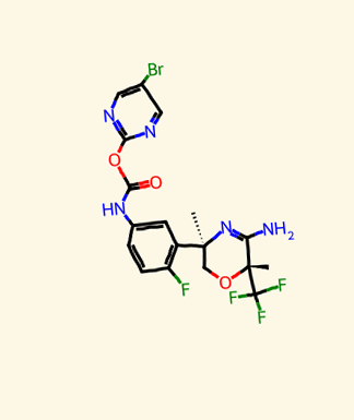 C[C@@]1(c2cc(NC(=O)Oc3ncc(Br)cn3)ccc2F)CO[C@@](C)(C(F)(F)F)C(N)=N1